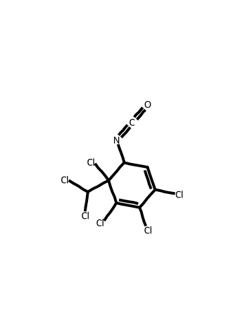 O=C=NC1C=C(Cl)C(Cl)=C(Cl)C1(Cl)C(Cl)Cl